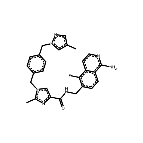 Cc1cnn(Cc2ccc(Cn3cc(C(=O)NCc4ccc5c(N)nccc5c4F)nc3C)cc2)c1